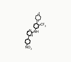 CN1CCN(c2ccc(Nc3nccc(-c4ccc([N+](=O)[O-])cc4)n3)cc2C(F)(F)F)CC1